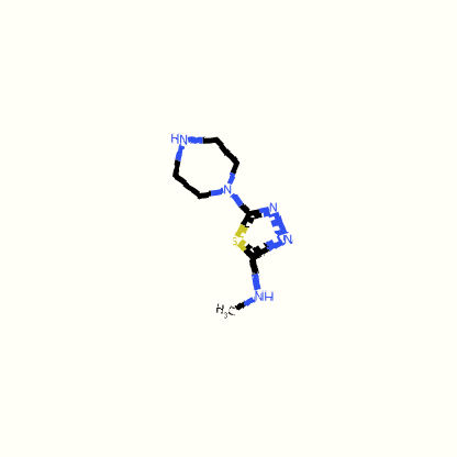 CNc1nnc(N2CCNCC2)s1